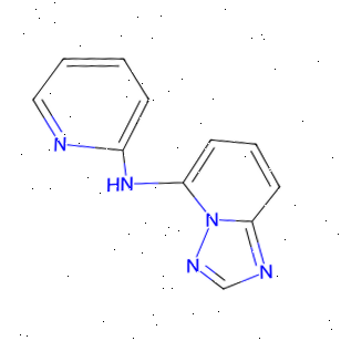 c1ccc(Nc2cccc3ncnn23)nc1